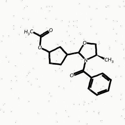 CC(=O)OC1CCC(C2OC[C@@H](C)N2C(=O)c2ccccc2)C1